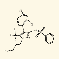 O=S(=O)(Nc1nn(CCCO)c(C(F)(F)F)c1-c1ccc(Cl)cc1Cl)c1ccccc1